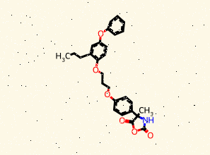 CCCc1cc(Oc2ccccc2)ccc1OCCCOc1ccc(C2(C)NC(=O)OC2=O)cc1